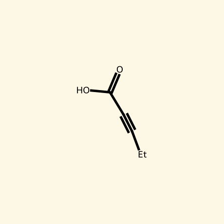 [CH2]CC#CC(=O)O